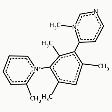 Cc1cc(C)c(-[n+]2ccccc2C)c(C)c1-c1ccnc[n+]1C